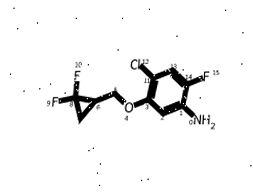 Nc1cc(OCC2CC2(F)F)c(Cl)cc1F